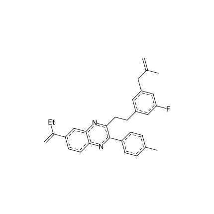 C=C(C)Cc1cc(F)cc(CCc2nc3cc(C(=C)CC)ccc3nc2-c2ccc(C)cc2)c1